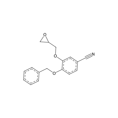 N#Cc1ccc(OCc2ccccc2)c(OCC2CO2)c1